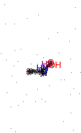 O=[PH](O)OCCCNCc1ccc(C#CCCCCc2ccccc2)c2cccnc12